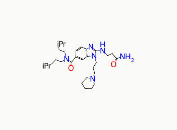 CC(C)CCN(CCC(C)C)C(=O)c1ccc2nc(NCCC(N)=O)n(CCCN3CCCCC3)c2c1